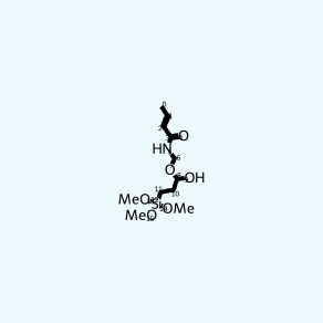 CC=CC(=O)NCOC(O)CC[Si](OC)(OC)OC